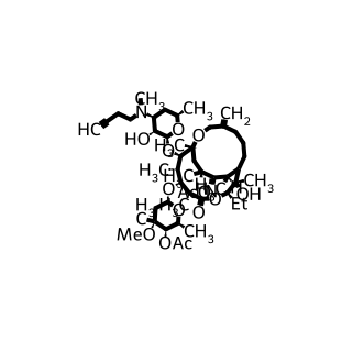 C#CCCN(C)[C@H]1C[C@@H](C)O[C@@H](O[C@@H]2[C@@H](C)[C@@H](O[C@H]3C[C@@](C)(OC)[C@@H](OC(C)=O)[C@H](C)O3)[C@@H](C)C(=O)O[C@H](CC)[C@@](C)(O)C3CCCC(=C)CO[C@]2(C)C[C@@H](C)/C(=N\OC(C)=O)[C@@H]3C)[C@@H]1O